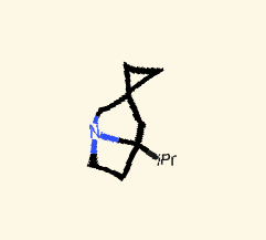 CC(C)C12CCN1CC1(CC1)C2